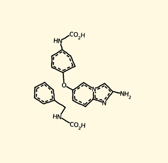 Nc1cn2cc(Oc3ccc(NC(=O)O)cc3)ccc2n1.O=C(O)NCc1ccccc1